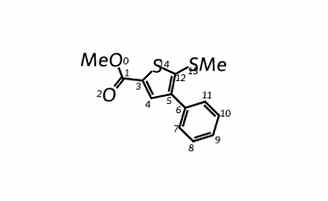 COC(=O)c1cc(-c2ccccc2)c(SC)s1